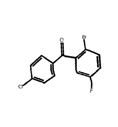 O=C(c1ccc(Cl)cc1)c1cc(F)ccc1Br